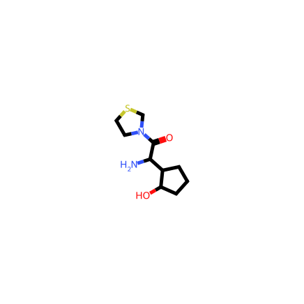 NC(C(=O)N1CCSC1)C1CCCC1O